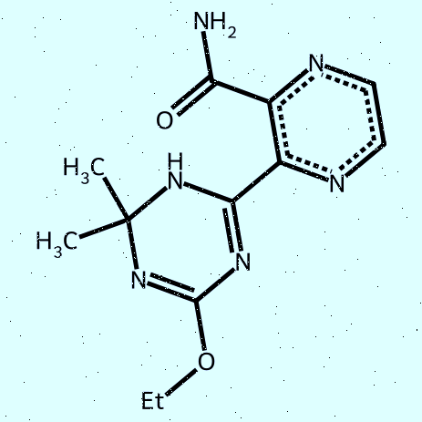 CCOC1=NC(C)(C)NC(c2nccnc2C(N)=O)=N1